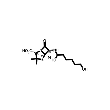 CC1(C)S[C@@H]2[C@H](NC(O)CCCCCO)C(=O)N2[C@H]1C(=O)O